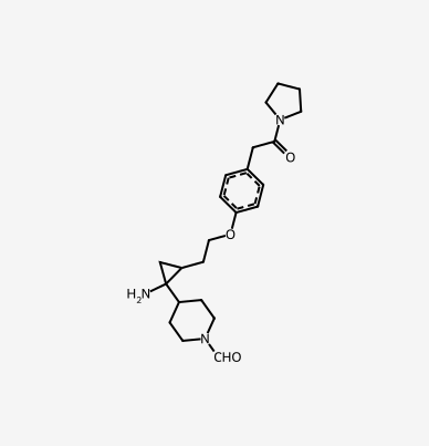 NC1(C2CCN(C=O)CC2)CC1CCOc1ccc(CC(=O)N2CCCC2)cc1